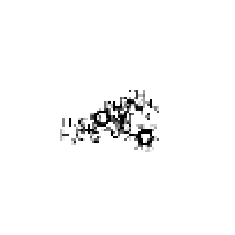 CN(C)C(=O)[C@H]1CC[C@@H](NC(=O)OC(C)(C)C)[C@@H](NC(=O)OCc2ccccc2)C1